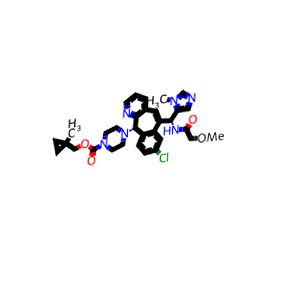 COCC(=O)N[C@H](C1=Cc2cccnc2[C@@H](N2CCN(C(=O)OCC3(C)CC3)CC2)c2ccc(Cl)cc21)c1cncn1C